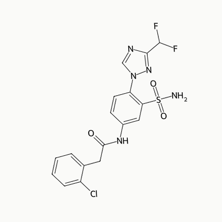 NS(=O)(=O)c1cc(NC(=O)Cc2ccccc2Cl)ccc1-n1cnc(C(F)F)n1